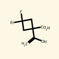 C=C(O)C1(C(=O)O)CC(F)(CC)C1